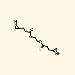 O=C(CCC1CN1)OCCOC(=O)CCC1CN1